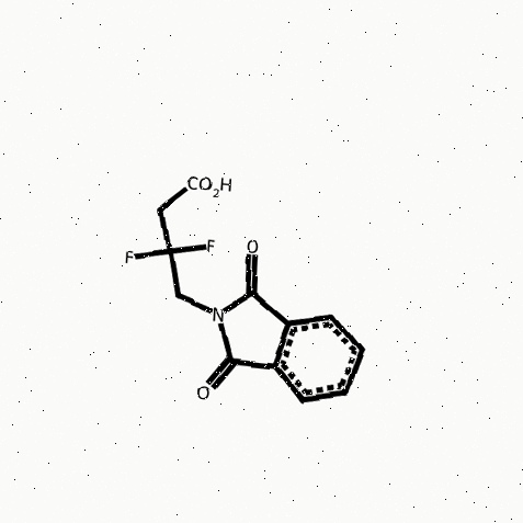 O=C(O)CC(F)(F)CN1C(=O)c2ccccc2C1=O